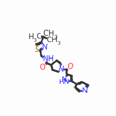 CC(C)(C)c1csc(CNC(=O)C2CCN(C(=O)c3cc(-c4ccncc4)[nH]n3)CC2)n1